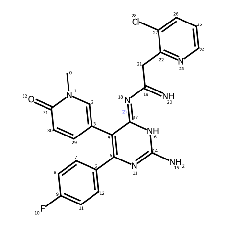 Cn1cc(-c2c(-c3ccc(F)cc3)nc(N)[nH]/c2=N\C(=N)Cc2ncccc2Cl)ccc1=O